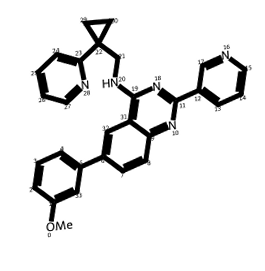 COc1cccc(-c2ccc3nc(-c4cccnc4)nc(NCC4(c5ccccn5)CC4)c3c2)c1